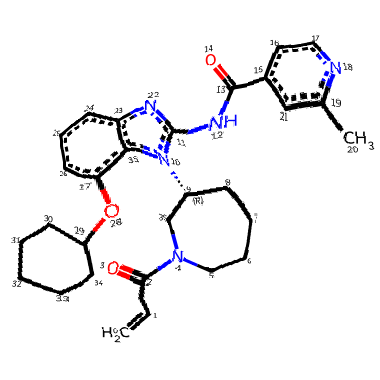 C=CC(=O)N1CCCC[C@@H](n2c(NC(=O)c3ccnc(C)c3)nc3cccc(OC4CCCCC4)c32)C1